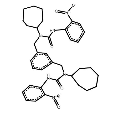 O=C(Nc1ccccc1[N+](=O)[O-])N(Cc1cccc(CN(C(=O)Nc2ccccc2[N+](=O)[O-])C2CCCCCC2)c1)C1CCCCCC1